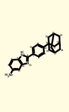 Nc1ccc2[nH]c(-c3ccc(C45CC6CC(CC(C6)C4)C5)cc3)nc2c1